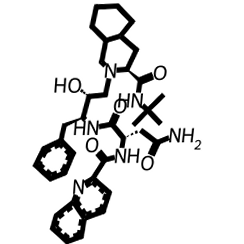 CC(C)(C)NC(=O)[C@@H]1CC2CCCCC2CN1C[C@@H](O)[C@H](Cc1ccccc1)NC(=O)[C@H](CC(N)=O)NC(=O)c1ccc2ccccc2n1